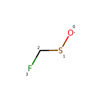 [O]SCF